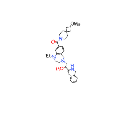 CCN1CCN(CC(O)[C@@H]2Cc3ccccc3CN2)Cc2ccc(C(=O)N3CCC4(CC3)CC(OC)C4)cc21